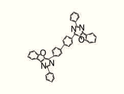 c1ccc(-c2nc(-c3ccc(-c4ccc(-c5nc(-c6ccccc6)nc6c5oc5ccccc56)cc4)cc3)c3oc4ccccc4c3n2)cc1